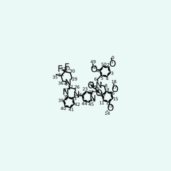 COc1ccc(CN(Cc2ccc(OC)cc2OC)S(=O)(=O)c2cc(N3CC(N4CCC(F)(F)C(C)C4)=Nc4ccccc43)ccn2)c(OC)c1